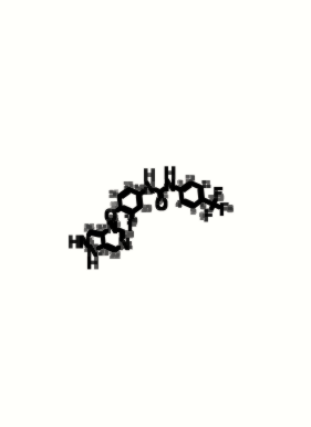 O=C(Nc1ccc(C(F)(F)F)cc1)Nc1ccc(ON2C=NC=C3NNC=C32)c(F)c1